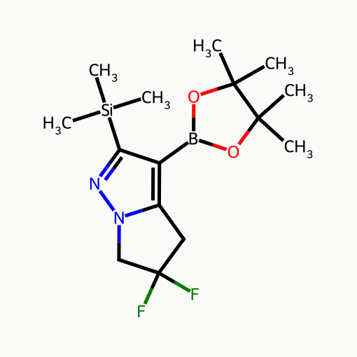 CC1(C)OB(c2c([Si](C)(C)C)nn3c2CC(F)(F)C3)OC1(C)C